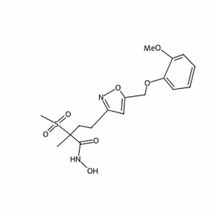 COc1ccccc1OCc1cc(CCC(C)(C(=O)NO)S(C)(=O)=O)no1